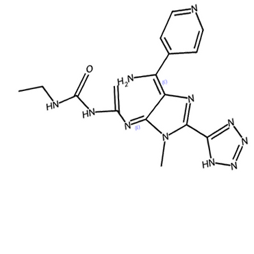 C=C(/N=C1\C(=C(/N)c2ccncc2)N=C(c2nnn[nH]2)N1C)NC(=O)NCC